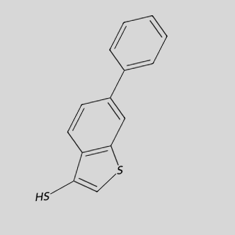 Sc1csc2cc(-c3ccccc3)ccc12